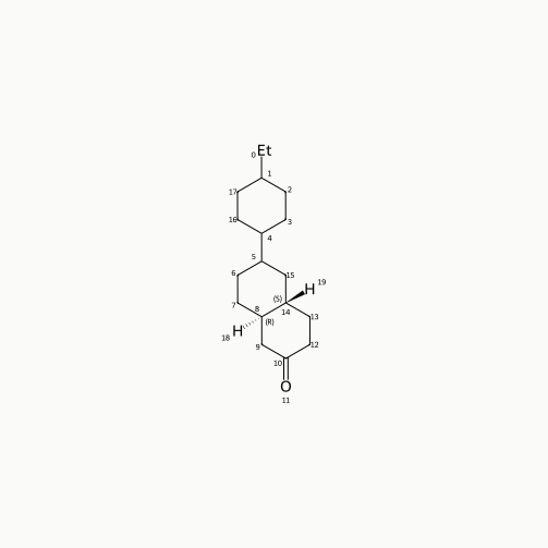 CCC1CCC(C2CC[C@@H]3CC(=O)CC[C@H]3C2)CC1